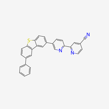 N#Cc1ccnc(-c2ccc(-c3ccc4sc5ccc(-c6ccccc6)cc5c4c3)cn2)c1